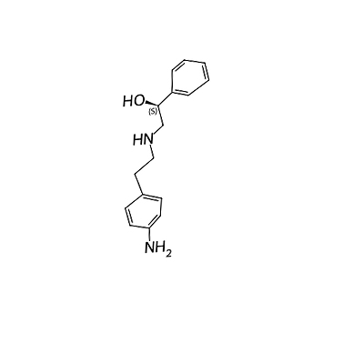 Nc1ccc(CCNC[C@@H](O)c2ccccc2)cc1